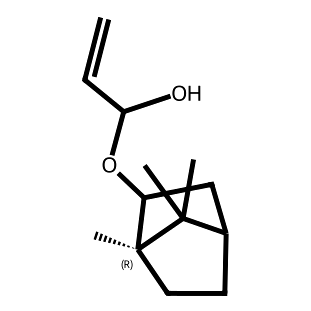 C=CC(O)OC1CC2CC[C@]1(C)C2(C)C